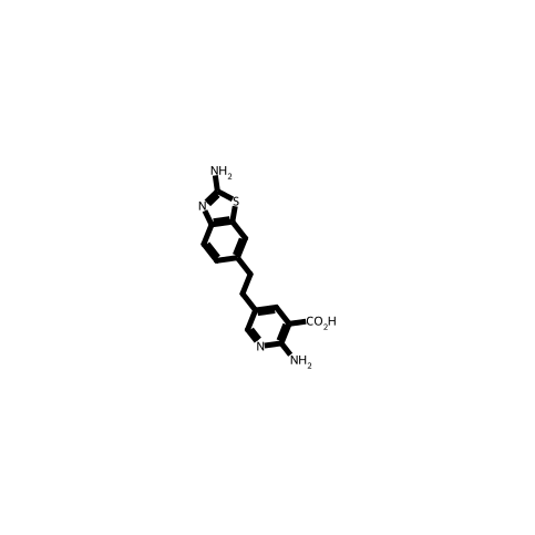 Nc1nc2ccc(CCc3cnc(N)c(C(=O)O)c3)cc2s1